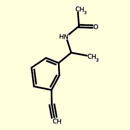 C#Cc1cccc(C(C)NC(C)=O)c1